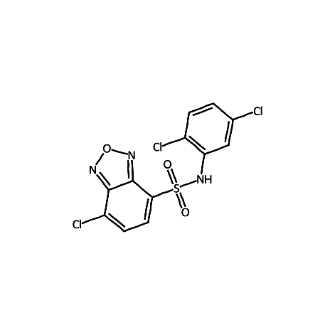 O=S(=O)(Nc1cc(Cl)ccc1Cl)c1ccc(Cl)c2nonc12